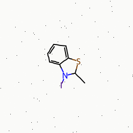 CC1Sc2ccccc2N1I